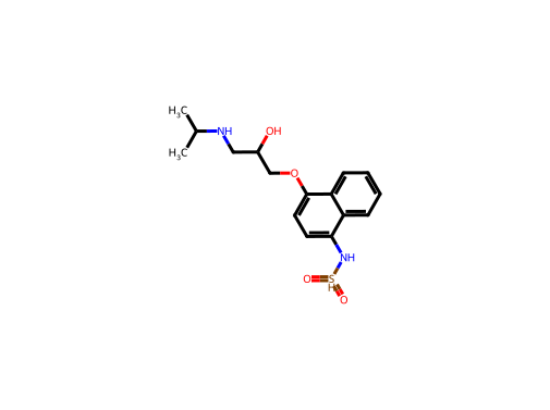 CC(C)NCC(O)COc1ccc(N[SH](=O)=O)c2ccccc12